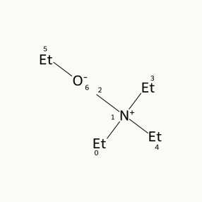 CC[N+](C)(CC)CC.CC[O-]